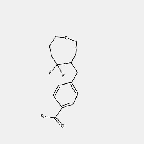 CC(C)C(=O)c1ccc(CC2CCCCCCC2(F)F)cc1